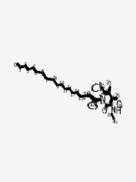 CCCCCCCCCCCCCCCCCC(=O)n1c(Cl)c(C)c(C=O)c(NCC)c1=O